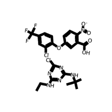 CCNc1nc(Cl)nc(NC(C)(C)C)n1.O=C(O)c1cc(Oc2ccc(C(F)(F)F)cc2Cl)ccc1[N+](=O)[O-]